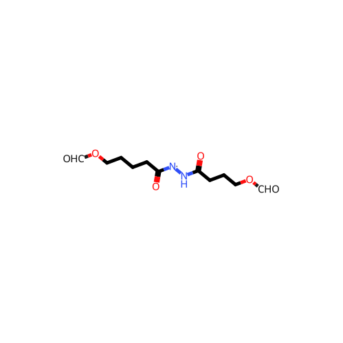 O=COCCCCC(=O)[N]NC(=O)CCCOC=O